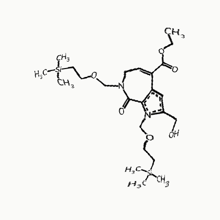 CCOC(=O)C1=CCN(COCC[Si](C)(C)C)C(=O)c2c1cc(CO)n2COCC[Si](C)(C)C